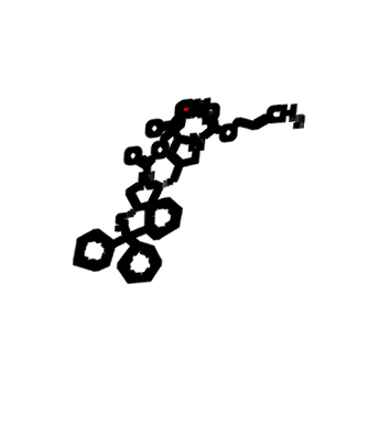 C=CCOC(=O)N1C[C@@H](SC(c2ccccc2)(c2ccccc2)c2ccccc2)C[C@H]1CC1C[C@@H](C(=O)O)N(C(=O)OCC=C)C1